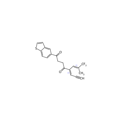 C#C/C=C(\C=C(/C)C(F)(F)F)C(=O)CCC(=O)c1ccc2sccc2c1